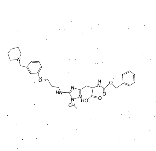 Cn1nc(CC(NC(=O)OCc2ccccc2)C(=O)O)nc1NCCCOc1cccc(CN2CCCCC2)c1